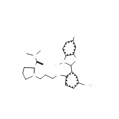 COc1ccc(OCCCN2CCC[C@H]2C(=O)N(C)C)c(C2Sc3cc(Cl)ccc3N2C(C)=O)c1.Cl